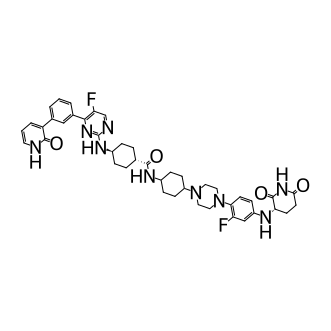 O=C1CC[C@H](Nc2ccc(N3CCN(C4CCC(NC(=O)[C@H]5CC[C@H](Nc6ncc(F)c(-c7cccc(-c8ccc[nH]c8=O)c7)n6)CC5)CC4)CC3)c(F)c2)C(=O)N1